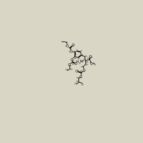 CCOC(=O)Oc1ccc(C[C@](N)(CCOC(=O)OCC(C)C)C(=O)OC)cc1OC(=O)OCC